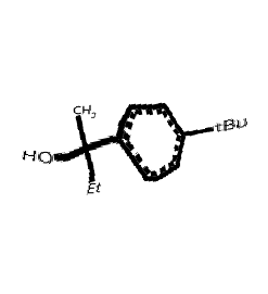 CCC(C)(O)c1ccc(C(C)(C)C)cc1